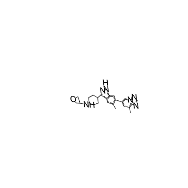 Cc1cc2c(C3CCC(NC4COC4)CC3)n[nH]c2cc1-c1cc(C)c2ncnn2c1